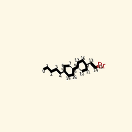 CCCCC[C@H]1CC[C@H]([C@H]2CC[C@H](C=CBr)CC2)CC1